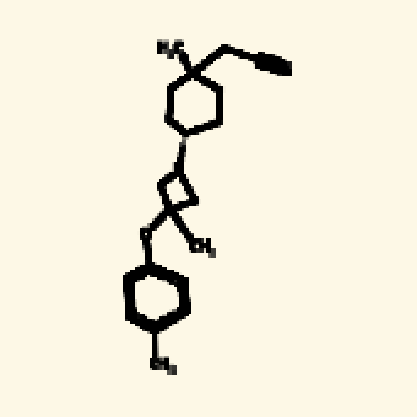 Cc1ccc(OC2(C)CN([C@H]3CC[C@@](C)(CC#N)CC3)C2)cc1